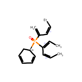 C=C(/C=C\CC)P(=O)(C(/C=C\C)=C/C)[C@H]1C=CC=CC1